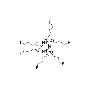 FCCCOP1(OCCCF)=NP(OCCCF)(OCCCF)=NP(OCCCF)(OCCCF)=N1